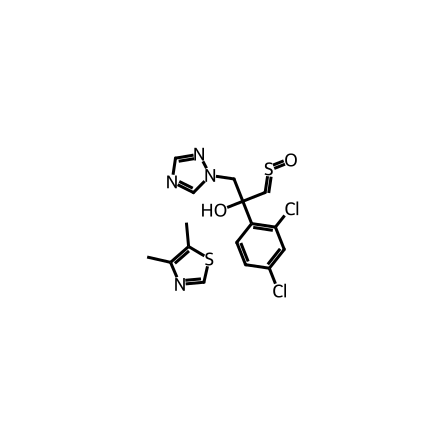 Cc1ncsc1C.O=S=CC(O)(Cn1cncn1)c1ccc(Cl)cc1Cl